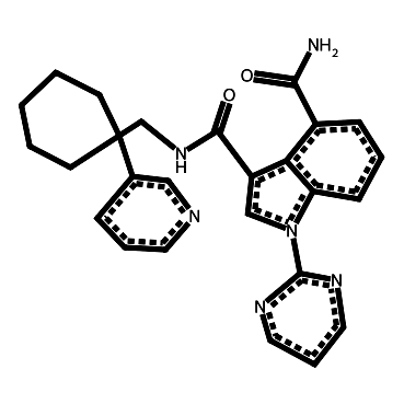 NC(=O)c1cccc2c1c(C(=O)NCC1(c3cccnc3)CCCCC1)cn2-c1ncccn1